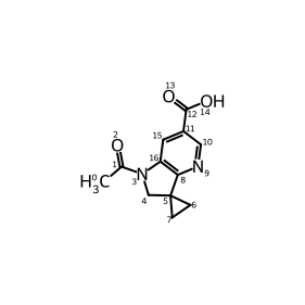 CC(=O)N1CC2(CC2)c2ncc(C(=O)O)cc21